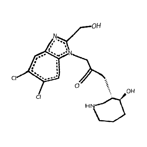 O=C(C[C@H]1NCCC[C@@H]1O)Cn1c(CO)nc2cc(Cl)c(Cl)cc21